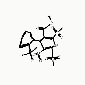 COC(=O)C1=C(S(C)(=O)=O)NC(S(C)(=O)=O)=C([N+](=O)[O-])C1c1ccccc1C(F)(F)F